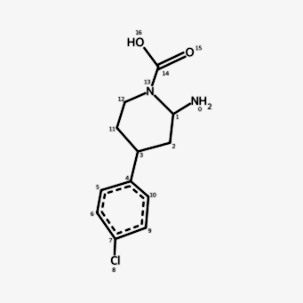 NC1CC(c2ccc(Cl)cc2)CCN1C(=O)O